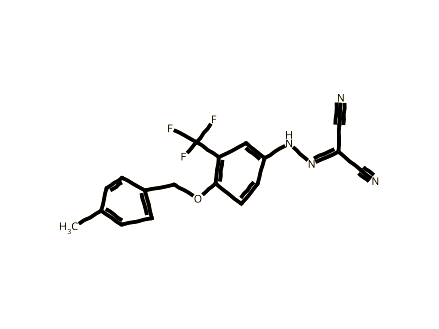 Cc1ccc(COc2ccc(NN=C(C#N)C#N)cc2C(F)(F)F)cc1